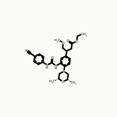 CCOC(=O)CC(COC)c1ccc(N2C[C@@H](C)O[C@@H](C)C2)c(NC(=O)Nc2ccc(C#N)cc2)c1